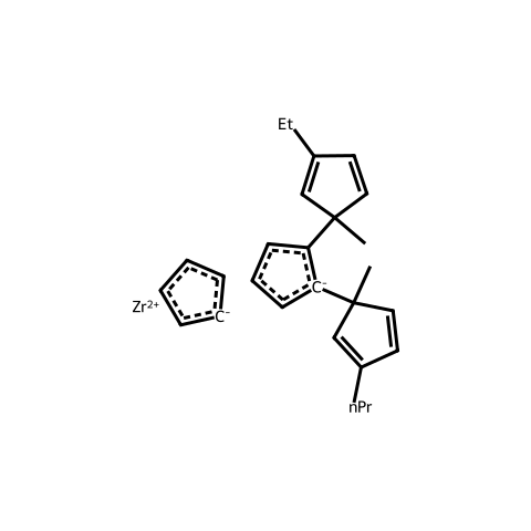 CCCC1=CC(C)([c-]2cccc2C2(C)C=CC(CC)=C2)C=C1.[Zr+2].c1cc[cH-]c1